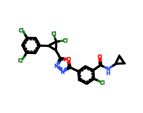 O=C(NC1CC1)c1cc(-c2nnc(C3C(c4cc(Cl)cc(Cl)c4)C3(Cl)Cl)o2)ccc1Cl